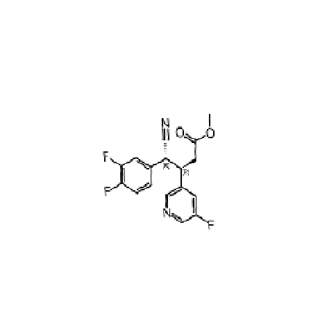 COC(=O)C[C@@H](c1cncc(F)c1)[C@@H](C#N)c1ccc(F)c(F)c1